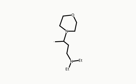 [CH2]C(CCN(CC)CC)N1CCOCC1